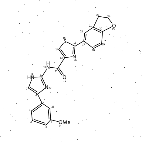 COc1cccc(-c2c[nH]c(NC(=O)c3csc(-c4ccc5c(c4)CCO5)n3)n2)c1